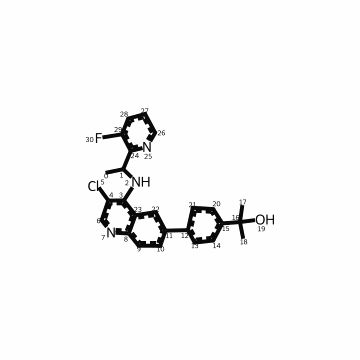 CC(Nc1c(Cl)cnc2ccc(-c3ccc(C(C)(C)O)cc3)cc12)c1ncccc1F